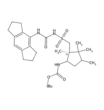 CC1CC(NC(=O)OC(C)(C)C)[C@@](C)(CS(=O)(=O)NC(=O)Nc2c3c(cc4c2CCC4)CCC3)C1(C)C